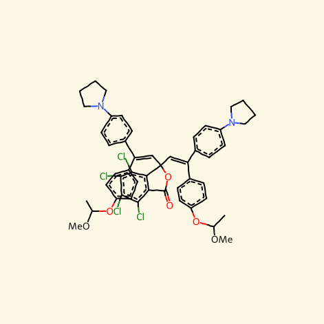 COC(C)Oc1ccc(/C(=C\C2(/C=C(\c3ccc(OC(C)OC)cc3)c3ccc(N4CCCC4)cc3)OC(=O)c3c(Cl)c(Cl)c(Cl)c(Cl)c32)c2ccc(N3CCCC3)cc2)cc1